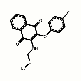 CCOCNC1=C(Oc2ccc(Cl)cc2)C(=O)c2ccccc2C1=O